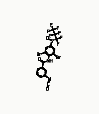 O=C=Nc1cccc(C(=O)Nc2c(Br)cc([S+]([O-])C(F)(F)C(F)(F)C(F)(F)F)cc2Br)c1